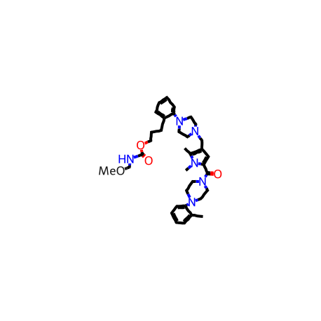 COCNC(=O)OCCCc1ccccc1N1CCN(Cc2cc(C(=O)N3CCN(c4ccccc4C)CC3)n(C)c2C)CC1